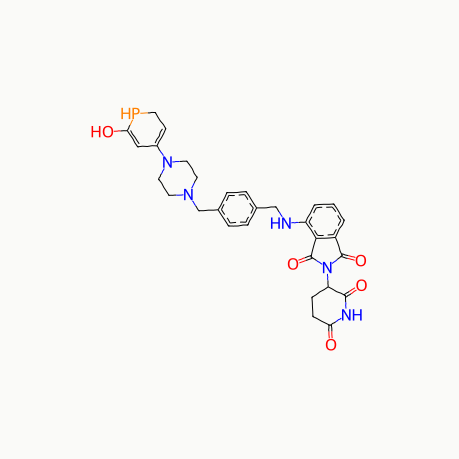 O=C1CCC(N2C(=O)c3cccc(NCc4ccc(CN5CCN(C6=CCPC(O)=C6)CC5)cc4)c3C2=O)C(=O)N1